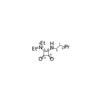 CCN(CC)c1c(NCCC(C)C)c(=O)c1=O